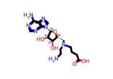 NCCN(CCCC(=O)O)C[C@H]1O[C@@H](n2cnc3c(N)ncnc32)[C@H](O)[C@@H]1O